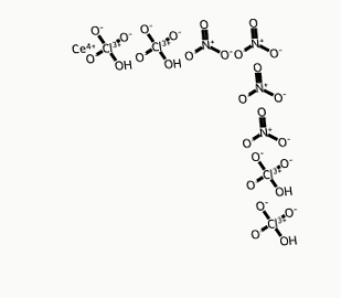 O=[N+]([O-])[O-].O=[N+]([O-])[O-].O=[N+]([O-])[O-].O=[N+]([O-])[O-].[Ce+4].[O-][Cl+3]([O-])([O-])O.[O-][Cl+3]([O-])([O-])O.[O-][Cl+3]([O-])([O-])O.[O-][Cl+3]([O-])([O-])O